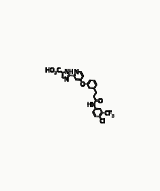 O=C(CCc1cccc(Oc2ccnc(-c3ncc(C(=O)O)[nH]3)c2)c1)Nc1ccc(Cl)c(C(F)(F)F)c1